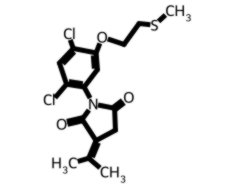 CSCCOc1cc(N2C(=O)CC(=C(C)C)C2=O)c(Cl)cc1Cl